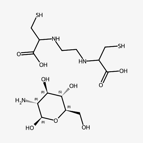 N[C@@H]1[C@@H](O)[C@H](O)[C@@H](CO)O[C@H]1O.O=C(O)C(CS)NCCNC(CS)C(=O)O